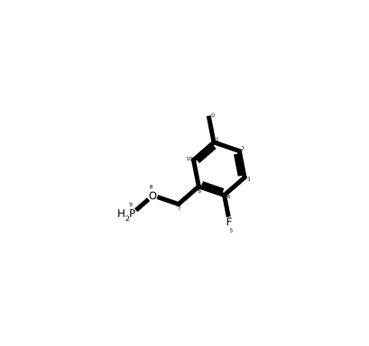 Cc1ccc(F)c(COP)c1